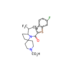 O=C(O)N1CCC2(CCC(C(C(F)(F)F)C(F)(F)F)N2C(=O)c2cc3ccc(F)cc3s2)CC1